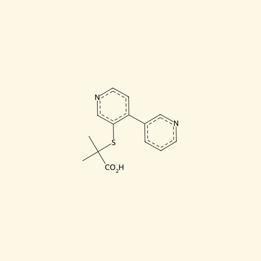 CC(C)(Sc1cnccc1-c1cccnc1)C(=O)O